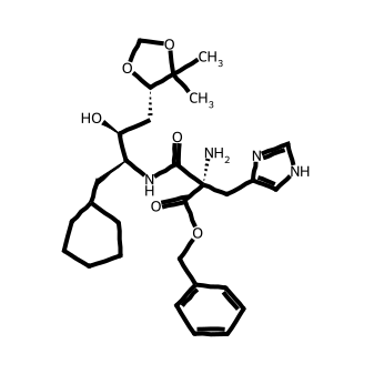 CC1(C)OCO[C@H]1C[C@H](O)[C@H](CC1CCCCC1)NC(=O)[C@@](N)(Cc1c[nH]cn1)C(=O)OCc1ccccc1